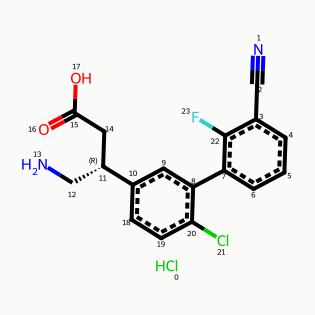 Cl.N#Cc1cccc(-c2cc([C@H](CN)CC(=O)O)ccc2Cl)c1F